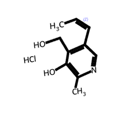 C/C=C\c1cnc(C)c(O)c1CO.Cl